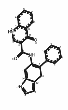 O=C(NC1=C(c2ccccc2)CC2=CC=NC2=C1)c1c[nH]c2ccccc2c1=O